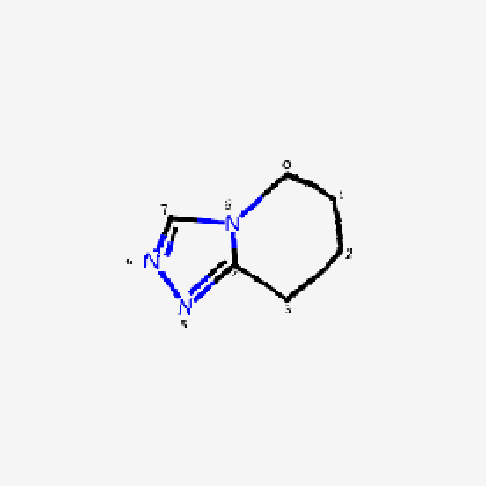 [CH]1CCCc2nncn21